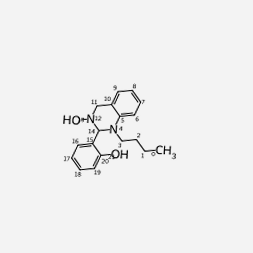 CCCCN1c2ccccc2CN(O)C1c1ccccc1O